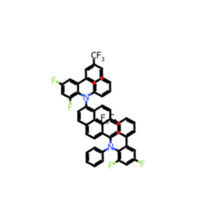 Fc1cc(F)c(N(c2ccccc2)c2ccc3ccc4c(N(c5ccccc5)c5c(F)cc(F)cc5-c5cccc(C(F)(F)F)c5)ccc5ccc2c3c54)c(-c2cccc(C(F)(F)F)c2)c1